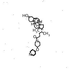 CC(CCC(=O)N1CCC(Oc2ccncc2)CC1)[C@H]1CC[C@H]2[C@@H]3CC=C4C[C@@H](O)CC[C@]4(C)[C@H]3CC[C@]12C